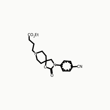 CCOC(=O)CCCN1CCC2(CC1)CN(c1ccc(C#N)cc1)C(=O)O2